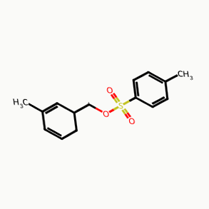 CC1=CC([CH]OS(=O)(=O)c2ccc(C)cc2)CC=C1